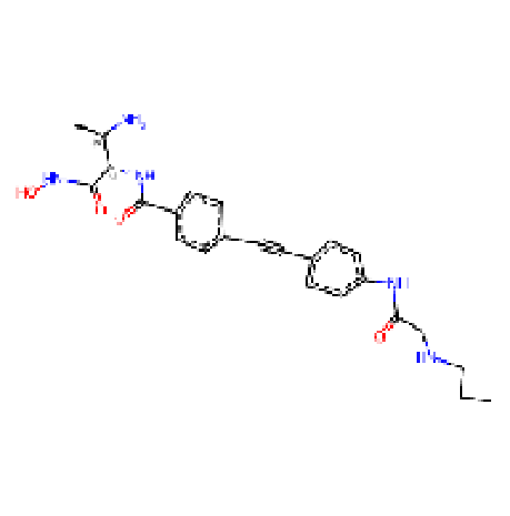 CCCNCC(=O)Nc1ccc(C#Cc2ccc(C(=O)N[C@H](C(=O)NO)[C@@H](C)N)cc2)cc1